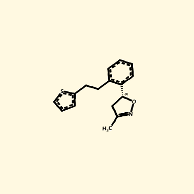 CC1=NO[C@@H](c2ccccc2CCc2cccs2)C1